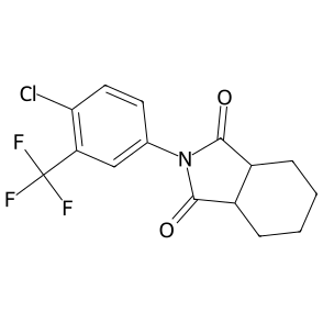 O=C1C2CCCCC2C(=O)N1c1ccc(Cl)c(C(F)(F)F)c1